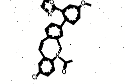 COc1ccc(-c2ccc3c(c2)CN(C(C)=O)c2ccc(Cl)cc2/C=C\3)c(-c2ncco2)c1